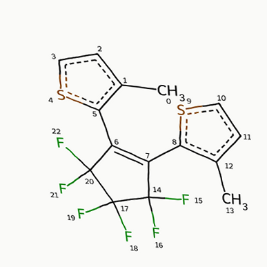 Cc1ccsc1C1=C(c2sccc2C)C(F)(F)C(F)(F)C1(F)F